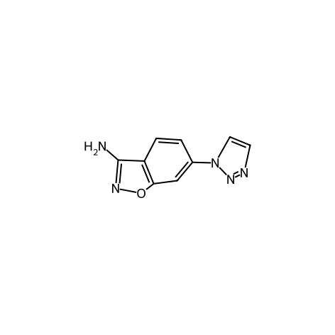 Nc1noc2cc(-n3ccnn3)ccc12